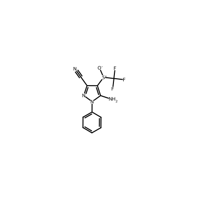 N#Cc1nn(-c2ccccc2)c(N)c1[S+]([O-])C(F)(F)F